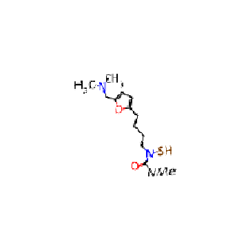 CNC(=O)N(S)CCCCc1ccc(CN(C)C)o1